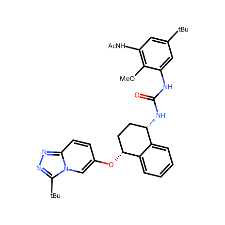 COc1c(NC(C)=O)cc(C(C)(C)C)cc1NC(=O)N[C@H]1CC[C@@H](Oc2ccc3nnc(C(C)(C)C)n3c2)c2ccccc21